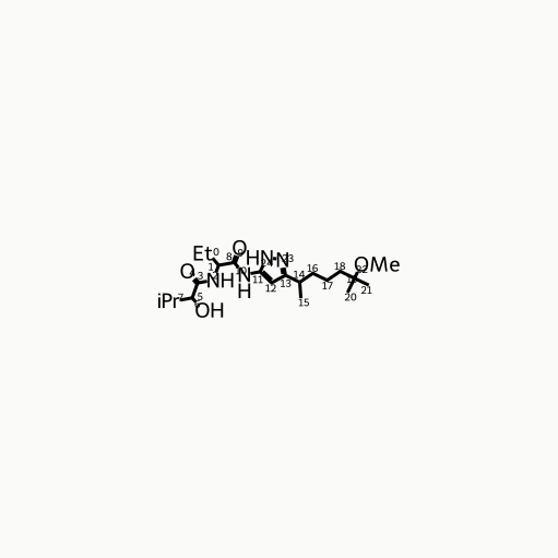 CCC(NC(=O)C(O)C(C)C)C(=O)Nc1cc(C(C)CCCC(C)(C)OC)n[nH]1